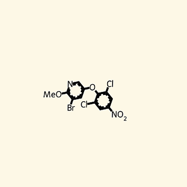 COc1ncc(Oc2c(Cl)cc([N+](=O)[O-])cc2Cl)cc1Br